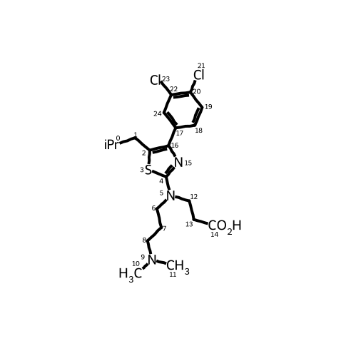 CC(C)Cc1sc(N(CCCN(C)C)CCC(=O)O)nc1-c1ccc(Cl)c(Cl)c1